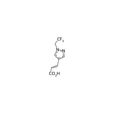 O=C(O)C=Cc1cnn(CC(F)(F)F)c1